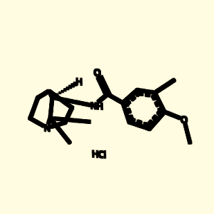 COc1ccc(C(=O)N[C@@H]2C3CCN(CC3)C2(C)C)cc1C.Cl